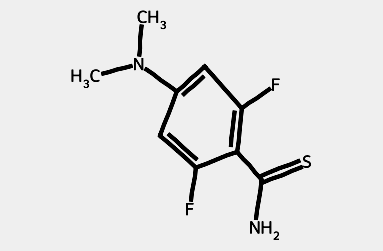 CN(C)c1cc(F)c(C(N)=S)c(F)c1